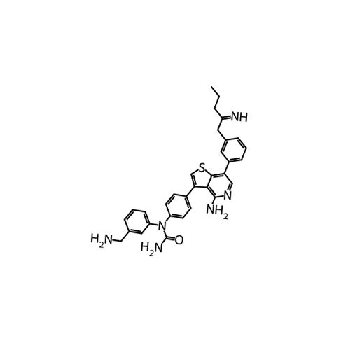 CCCC(=N)Cc1cccc(-c2cnc(N)c3c(-c4ccc(N(C(N)=O)c5cccc(CN)c5)cc4)csc23)c1